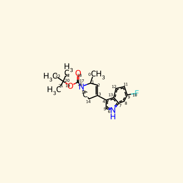 CC1C=C(c2c[nH]c3cc(F)ccc23)CCN1C(=O)OC(C)(C)C